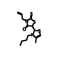 C=CCN1C(=O)C(C2SC=C(C)N2CCCC)SC1=S